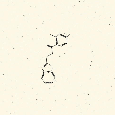 Cc1cc(O)ccc1C(=O)CSc1nc2ccccc2o1